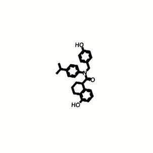 CC(C)c1ccc(N(Cc2ccc(O)cc2)C(=O)C2CCCc3c(O)cccc32)cc1